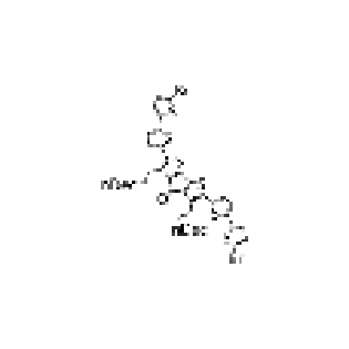 CCCCCCCCCCCCc1c(-c2ccc(-c3ccc(Br)s3)s2)sc2c1C(=O)c1c-2sc(-c2ccc(-c3ccc(Br)s3)s2)c1CCCCCCCCCCCC